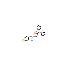 Fc1ccc(CNC2CCC(C(c3ccccc3)c3ccccc3)OC2)cc1